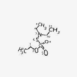 CCOS(=O)(=O)SN(CC)CC